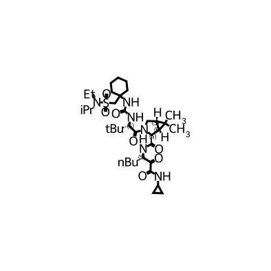 CCCC[C@H](NC(=O)[C@@H]1[C@@H]2[C@H](CN1C(=O)[C@@H](NC(=O)NC1(CS(=O)(=O)N(CC)C(C)C)CCCCC1)C(C)(C)C)C2(C)C)C(=O)C(=O)NC1CC1